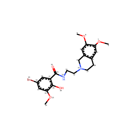 COc1cc2c(cc1OC)CN(CCNC(=O)c1cc(Br)cc(OC)c1O)CC2